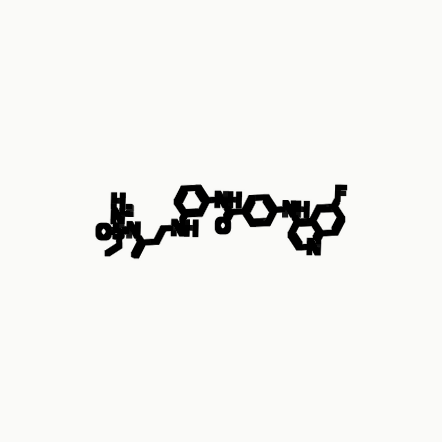 C=C(CCNc1cccc(NC(=O)c2ccc(Nc3ccnc4ccc(F)cc34)cc2)c1)N=S(N)(=O)CC